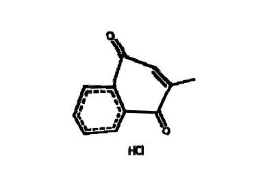 CC1=CC(=O)c2ccccc2C1=O.Cl